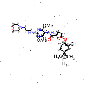 COc1nc(NCCCN2CCOCC2)nc(OC)c1NC(=O)c1ccc(Oc2ccc([Si](C)(C)C)cc2C)o1